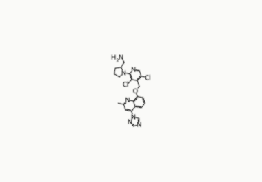 Cc1cc(-n2cncn2)c2cccc(OCc3c(Cl)cnc(N4CCC[C@H]4CN)c3Cl)c2n1